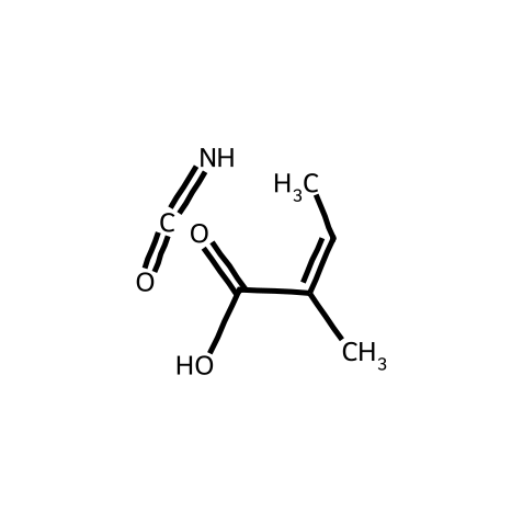 CC=C(C)C(=O)O.N=C=O